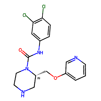 O=C(Nc1ccc(Cl)c(Cl)c1)N1CCNC[C@H]1COc1cccnc1